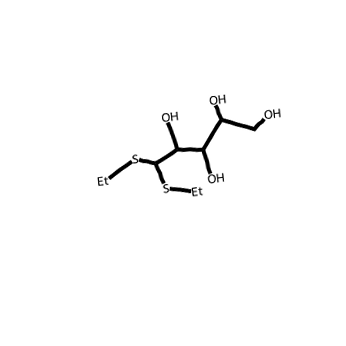 CCSC(SCC)C(O)C(O)C(O)CO